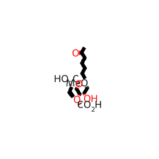 C=CC.CCCCCC(C)=O.COCCO.O=C(O)OCCOC(=O)O